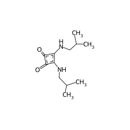 CC(C)CNc1c(NCC(C)C)c(=O)c1=O